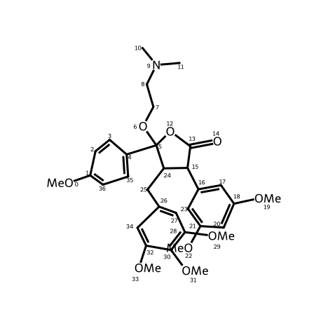 COc1ccc(C2(OCCN(C)C)OC(=O)C(c3cc(OC)cc(OC)c3)C2Cc2cc(OC)c(OC)c(OC)c2)cc1